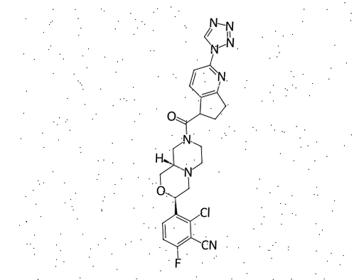 N#Cc1c(F)ccc([C@@H]2CN3CCN(C(=O)C4CCc5nc(-n6cnnn6)ccc54)C[C@H]3CO2)c1Cl